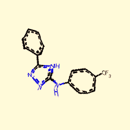 FC(F)(F)c1ccc(Nc2nnc(-c3ccccc3)[nH]2)cc1